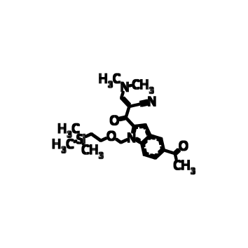 CC(=O)c1ccc2c(c1)cc(C(=O)/C(C#N)=C/N(C)C)n2COCC[Si](C)(C)C